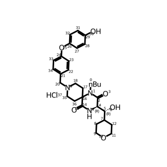 CCCCN1C(=O)[C@@H]([C@H](O)C2CCOCC2)NC(=O)C12CCN(Cc1ccc(Oc3ccc(O)cc3)cc1)CC2.Cl